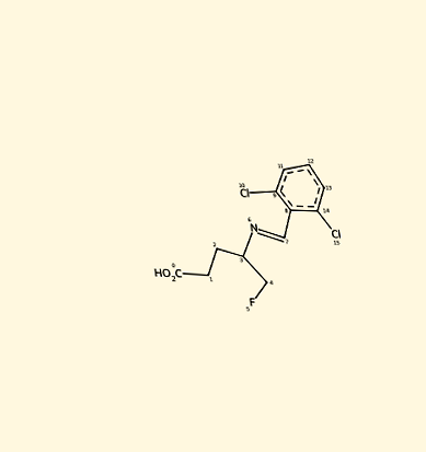 O=C(O)CCC(CF)N=Cc1c(Cl)cccc1Cl